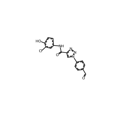 O=Cc1ccc(-n2cc(C(=O)Nc3ccc(O)c(Cl)c3)nn2)cc1